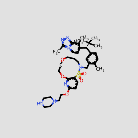 Cc1ccc([C@H](c2ccn3c(C(F)(F)F)nnc3c2C)C(C)(C)C(=O)O)cc1CN1CCCOCCOc2nc(OCCN3CCNCC3)ccc2S1(=O)=O